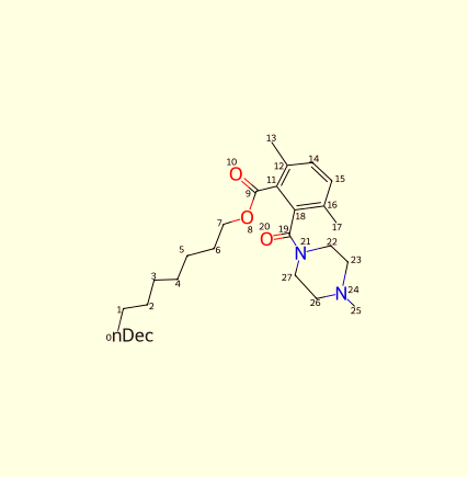 CCCCCCCCCCCCCCCCCOC(=O)c1c(C)ccc(C)c1C(=O)N1CCN(C)CC1